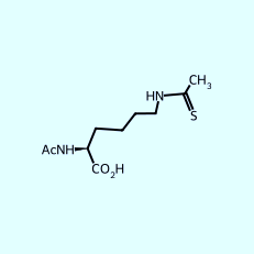 CC(=O)N[C@@H](CCCCNC(C)=S)C(=O)O